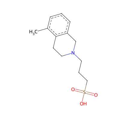 Cc1cccc2c1CCN(CCCS(=O)(=O)O)C2